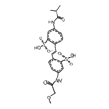 COCC(=O)Nc1ccc(/C=C/c2ccc(NC(=O)C(C)C)cc2S(=O)(=O)O)c(S(=O)(=O)O)c1